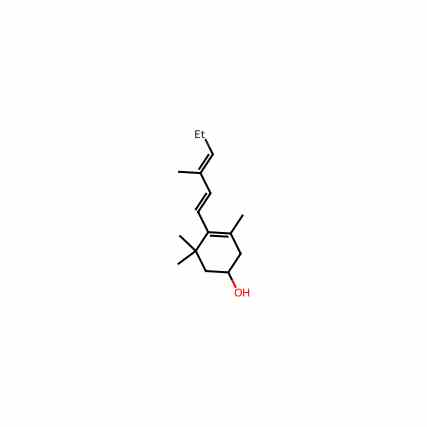 CC/C=C(C)/C=C/C1=C(C)CC(O)CC1(C)C